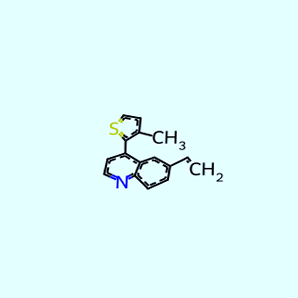 C=Cc1ccc2nccc(-c3sccc3C)c2c1